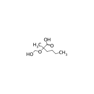 CCCCC(C)(OCO)C(=O)O